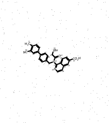 Cc1ccc(-c2ccc(CN(C(=O)CC(C)(C)C)c3nccc4cc(C(=O)O)ccc34)cc2)cc1C#N